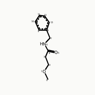 COCCC(=O)NCc1c[c]ccc1